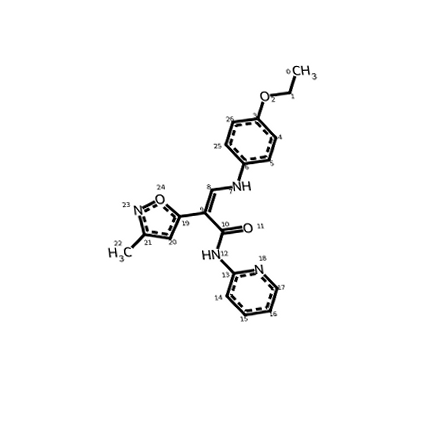 CCOc1ccc(N/C=C(\C(=O)Nc2ccccn2)c2cc(C)no2)cc1